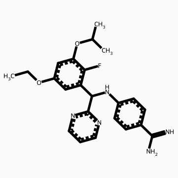 CCOc1cc(OC(C)C)c(F)c(C(Nc2ccc(C(=N)N)cc2)c2ncccn2)c1